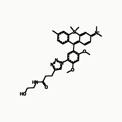 COc1cc(OC)c(-n2cc(CCC(=O)NCCO)nn2)cc1C1=C2C=CC(=[N+](C)C)C=C2[Si](C)(C)c2cc(C)ccc21